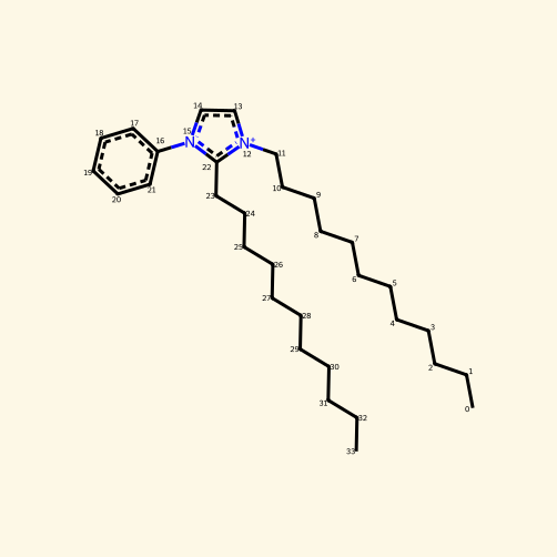 CCCCCCCCCCCC[n+]1ccn(-c2ccccc2)c1CCCCCCCCCCC